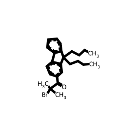 CCCCC1(CCCC)c2ccccc2-c2ccc(C(=O)C(C)(C)Br)cc21